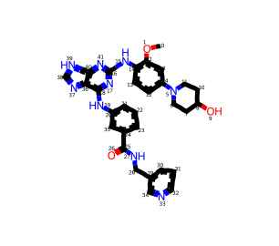 COc1cc(N2CCC(O)CC2)ccc1Nc1nc(Nc2cccc(C(=O)NCc3cccnc3)c2)c2nc[nH]c2n1